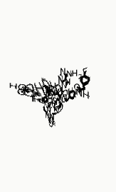 Nc1ccn([C@@H]2O[C@H](COP(=O)(O)O)[C@@H](OP(=O)(O)OCC3OC(n4cnc5c(N)ncnc54)C(O)C3N(C(=O)OCc3ccc(NC(=O)Cc4ccc(F)cc4)cc3)[C@H](COCCN3CCOCC3)C(=O)O)[C@H]2O)c(=O)n1